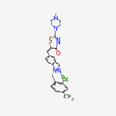 CN1CCN(C2=NC(=O)C(=Cc3ccc4c(cnn4Cc4ccc(C(F)(F)F)cc4Br)c3)S2)CC1